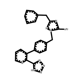 CCCc1nc(Cc2ccccc2)nn1Cc1ccc(-c2cccnc2-c2nnn[nH]2)cc1